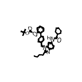 CCCCc1nc2ccc(NC(=O)C3CCCCC3)cc2n1Cc1ccc(-c2ccccc2OC(=O)OC(C)(C)C)cc1